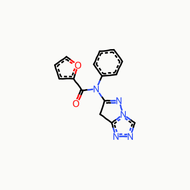 O=C(c1ccco1)N(C1=Nn2cnnc2C1)c1ccccc1